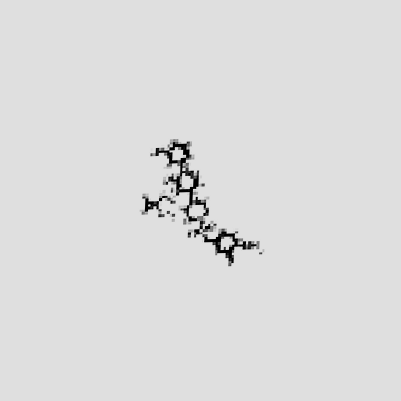 Cc1cc(CS(=O)(=O)N2CCN(c3cnn(-c4cccc(Cl)c4)c(=O)c3OCC3(C(F)(F)F)CC3)CC2)ccc1N